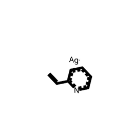 C=Cc1ccccn1.[Ag]